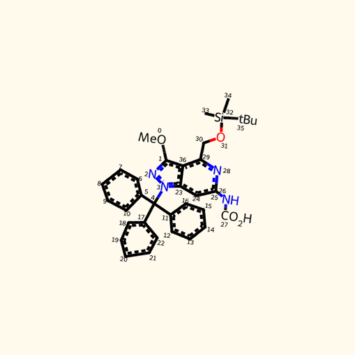 COc1nn(C(c2ccccc2)(c2ccccc2)c2ccccc2)c2cc(NC(=O)O)nc(CO[Si](C)(C)C(C)(C)C)c12